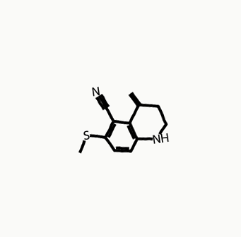 C=C1CCNc2ccc(SC)c(C#N)c21